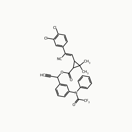 C#CC(OC(=O)C1C(C=C(C#N)c2ccc(Cl)c(Cl)c2)C1(C)C)c1cccc(N(C(=O)C(F)(F)F)c2ccccc2)c1